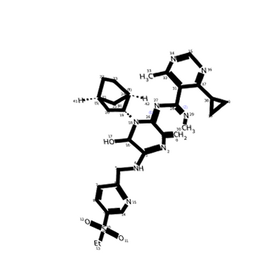 C=C1N=C(NCc2ccc(S(=O)(=O)CC)cn2)C(O)N([C@@H]2C[C@H]3CC[C@@H]2C3)/C1=N/C(=N\C)c1c(C)ncnc1C1CC1